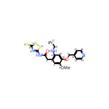 COc1cc(CC(=O)Nc2nc(=S)ss2)c(NCC(C)C)cc1OCc1ccncc1